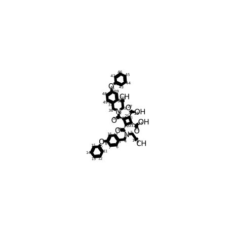 C#CCN(Cc1ccc(Oc2ccccc2)cc1)C(=O)[C@H]1[C@@H](C(=O)O)[C@H](C(=O)O)[C@@H]1C(=O)N(CC#C)Cc1ccc(Oc2ccccc2)cc1